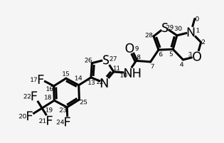 CN1COCc2c(CC(=O)Nc3nc(-c4cc(F)c(C(F)(F)F)c(F)c4)cs3)csc21